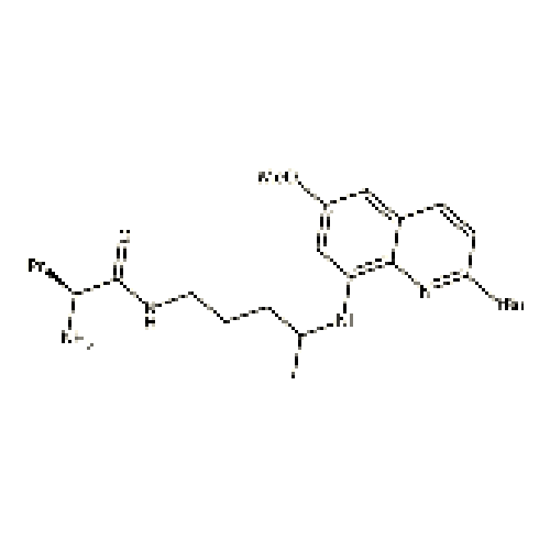 COc1cc(NC(C)CCCNC(=O)[C@@H](N)C(C)C)c2nc(C(C)(C)C)ccc2c1